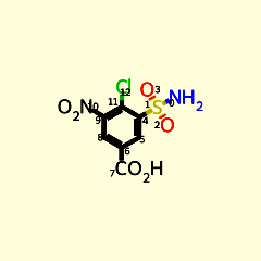 NS(=O)(=O)c1cc(C(=O)O)cc([N+](=O)[O-])c1Cl